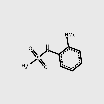 [CH2]Nc1ccccc1NS(C)(=O)=O